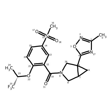 Cc1noc(C23CC2CN(C(=O)c2cc(S(C)(=O)=O)ccc2O[C@@H](C)C(F)(F)F)C3)n1